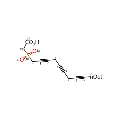 CCCCCCCCC#CCC#CCC#CCS(=O)(=O)CC(=O)O